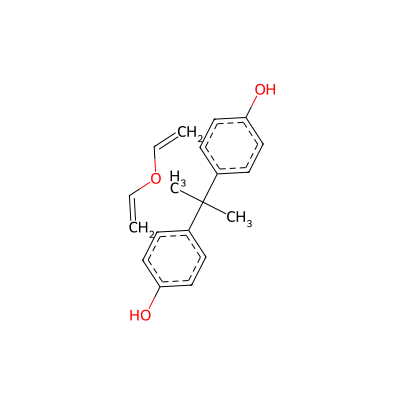 C=COC=C.CC(C)(c1ccc(O)cc1)c1ccc(O)cc1